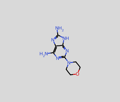 Nc1nc2c(N)nc(N3CCOCC3)nc2[nH]1